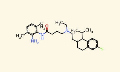 CCN(CCCC(=O)Nc1c(C)ccc(C)c1N)CC[C]1CCc2cc(F)ccc2C1C(C)C